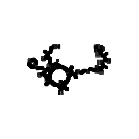 CCC1=C(C)c2cc3[nH]c(cc4nc(c5c6[nH]c(cc1n2)c(C)c6C(=O)N(CCN1CCOCC1)C5=O)[C@@H](CCC(=O)N(C)CCO)[C@@H]4C)c(C)c3C(C)OCCOCCNC(=O)[C@H](C)NC(=O)[C@H](C)NC(=O)OC(C)(C)C